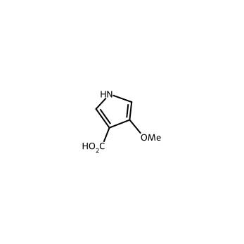 COc1c[nH]cc1C(=O)O